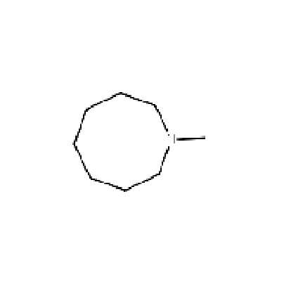 IN1CCCCCCC1